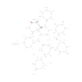 CCCCc1ccc(N2c3cc4c(cc3B3c5c(cc(-c6c(C)cc(C)cc6C)cc52)-c2ccccc2N3c2ccccc2)-c2ccccc2C4(C)C)c(-c2ccccc2)c1